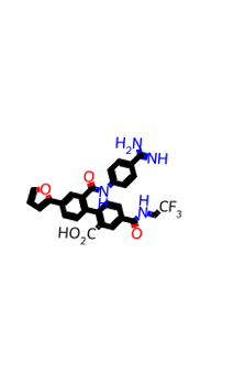 N=C(N)c1ccc(NC(=O)c2cc(-c3ccco3)ccc2-c2ccc(C(=O)NCC(F)(F)F)cc2C(=O)O)cc1